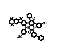 CC(C)(C)c1ccc(N2B3c4oc5ccc(-c6ccccc6)cc5c4-n4c5ccc(C(C)(C)C)cc5c5c6oc7ccccc7c6c(c3c54)-c3cc4c(cc32)-c2cc3c(cc2C4(C)C)C(C)(C)CCC3(C)C)cc1